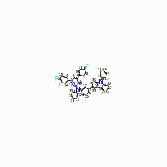 Fc1ccc(-c2cc(-c3ccc(F)cc3)nc(-n3c4ccccc4c4ccc(-c5ccc6c(c5)c5ccccc5n6-c5ccccc5)cc43)n2)cc1